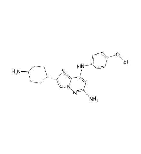 CCOc1ccc(Nc2cc(N)nn3cc([C@H]4CC[C@H](N)CC4)nc23)cc1